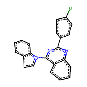 Clc1ccc(-c2nc(-n3ccc4ccccc43)c3ccccc3n2)cc1